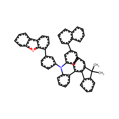 CC1(C)c2ccccc2-c2c(-c3ccccc3N(c3cccc(-c4cccc5ccccc45)c3)c3cccc(-c4cccc5c4oc4ccccc45)c3)cccc21